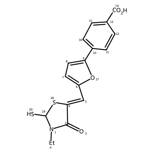 CCN1C(=O)C(=Cc2ccc(-c3ccc(C(=O)O)cc3)o2)SC1S